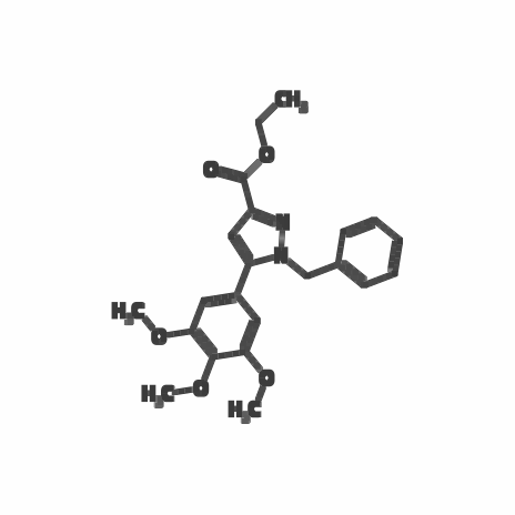 CCOC(=O)c1cc(-c2cc(OC)c(OC)c(OC)c2)n(Cc2ccccc2)n1